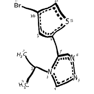 CC(C)n1cnnc1-c1cc(Br)cs1